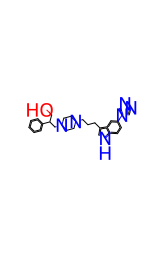 OCC(CN1CCN(CCCc2c[nH]c3ccc(-n4cnnc4)cc23)CC1)c1ccccc1